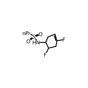 CCCS(=O)(=O)NC1CC=C(F)CC1F